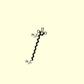 CCCCCCCCCCCCCCC(C)C1CC(=O)NC1=O